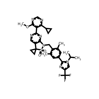 COc1ncnc(C2CC2)c1-c1ncc2c(n1)N(Cc1c(C)cc(-c3nc(C(F)(F)F)cn3C(C)C)cc1C)S(=O)(=O)C21CC1